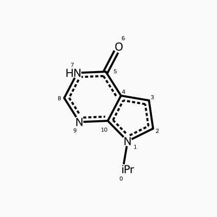 CC(C)n1ccc2c(=O)[nH]cnc21